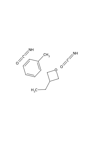 CCC1COC1.Cc1ccccc1.N=C=O.N=C=O